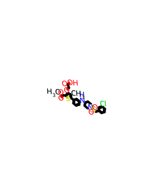 COC(=O)c1sc(-c2cccc(NC3CCN(S(=O)(=O)Cc4cccc(Cl)c4)CC3)c2)c(C)c1OCC(=O)O